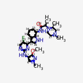 COc1nn(C)cc1Nc1ncc(F)c(-c2c[nH]c3c(NC(=O)C(C)N4CCN(C)C[C@@H]4C)cccc23)n1